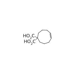 O=C(O)C1(C(=O)O)CCCC=CCCC1